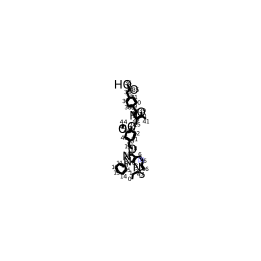 CCc1nc(/C=C\c2cn(-c3ccccc3)nc2OCc2ccc(OCc3nc(-c4ccc(CC(=O)O)cc4)oc3C)c(OC)c2)cs1